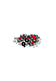 BBB(B)B(B(B)B)B(B(B(B(B)B)B(B)B(B)B)B(B(B)B)B(B(B)B)B(B)B)C1CCC(B(B(B(B)B)B(B)B)B(B(BB)B(B)B)c2ccc(C)cc2)CC1